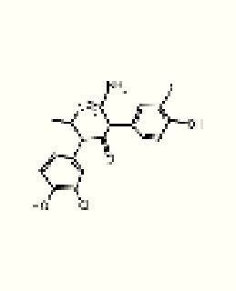 CC(N)C(C(=O)C(c1ccc(O)c(Cl)c1)C(C)N)c1ccc(O)c(Cl)c1